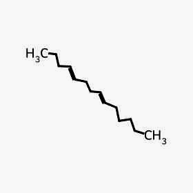 CCC/C=C/CC/C=C/CCCCC